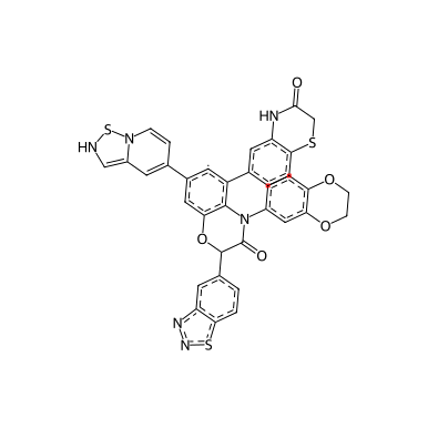 O=C1CSc2ccc(-c3[c]c(C4=CC5=CNSN5C=C4)cc4c3N(c3ccc5c(c3)OCCO5)C(=O)C(c3ccc5snnc5c3)O4)cc2N1